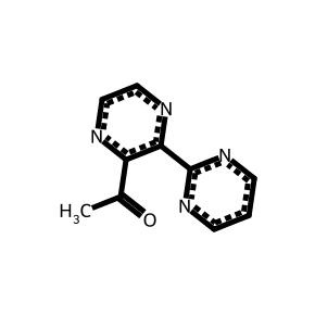 CC(=O)c1nccnc1-c1ncccn1